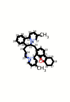 Cc1cc[n+]2c(c1)-c1c(ccc3c4c(oc13)CCCC4)CC1C(C/C=C/2)c2ccccc2-c2ccc(C)c[n+]21